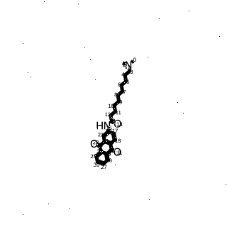 CN(C)CCCCCCCCCCC(=O)Nc1ccc2c(c1)C(=O)c1ccccc1C2=O